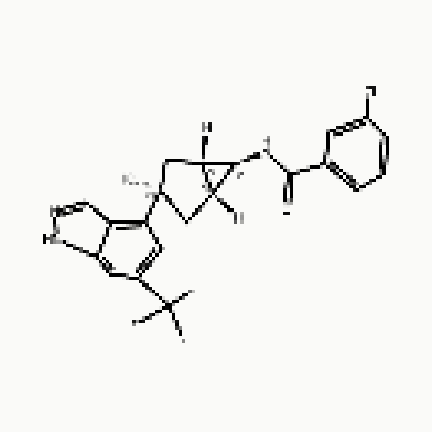 O=C(N[C@H]1[C@@H]2C[C@@](O)(c3cc(C(F)(F)F)cc4[nH]ncc34)C[C@@H]21)c1cccc(Cl)c1